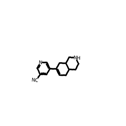 N#Cc1cncc(C2=CCC3CCNCC3C2)c1